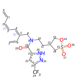 C=C/C=C\C=C(/C=C)CN(CCC1COS(=O)(=O)C1)C(=O)c1cc(C(F)(F)F)n[nH]1